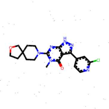 Cn1c(N2CCC3(CCOC3)CC2)nc2[nH]nc(-c3ccnc(Cl)c3)c2c1=O